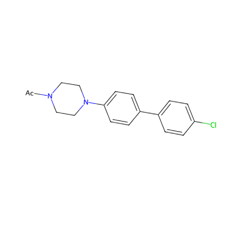 CC(=O)N1CCN(c2ccc(-c3ccc(Cl)cc3)cc2)CC1